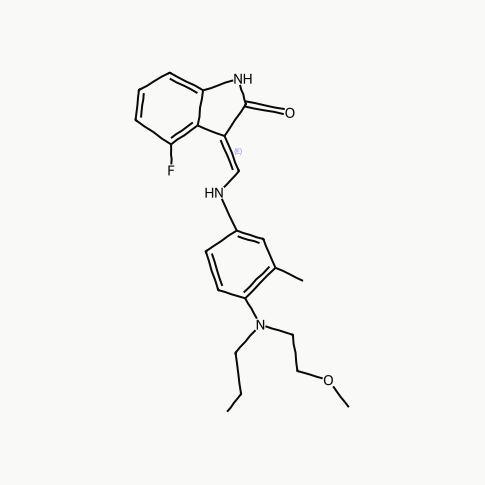 CCCN(CCOC)c1ccc(N/C=C2/C(=O)Nc3cccc(F)c32)cc1C